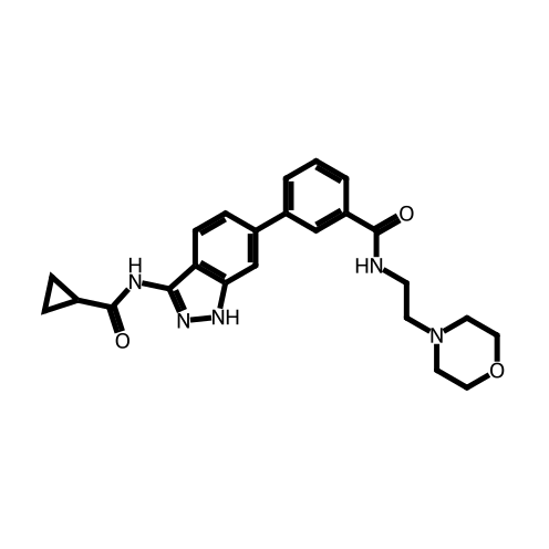 O=C(NCCN1CCOCC1)c1cccc(-c2ccc3c(NC(=O)C4CC4)n[nH]c3c2)c1